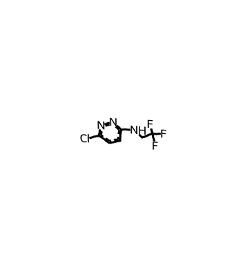 FC(F)(F)CNc1ccc(Cl)nn1